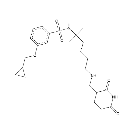 CC(C)(CCCCNCC1CCC(=O)NC1=O)NS(=O)(=O)c1cccc(OCC2CC2)c1